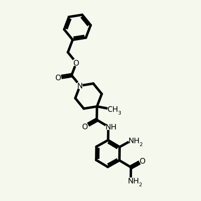 CC1(C(=O)Nc2cccc(C(N)=O)c2N)CCN(C(=O)OCc2ccccc2)CC1